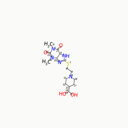 CN1C(=O)C2NC(SCCN3CCC(C(O)O)CC3)=NC2N(C)C1=O